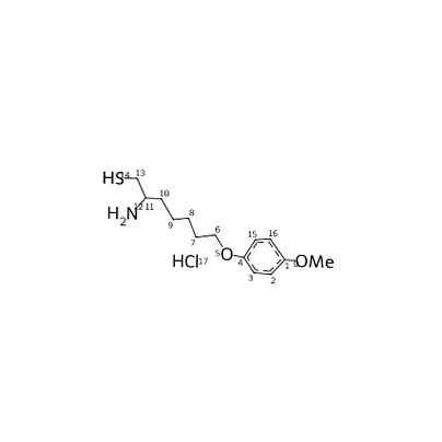 COc1ccc(OCCCCCC(N)CS)cc1.Cl